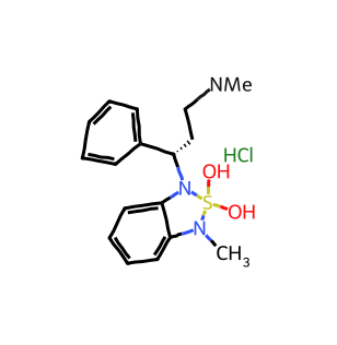 CNCC[C@@H](c1ccccc1)N1c2ccccc2N(C)S1(O)O.Cl